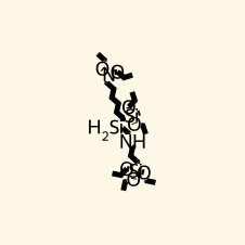 CCON(CCCCCC([SiH2]CNCCC[Si](OCC)(OCC)OCC)[Si](C)(OCC)OCC)OCC